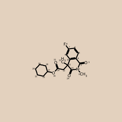 CN1C(=O)c2ccc(F)cc2C(C)(CC(=O)OC2CCCCC2)C1=O